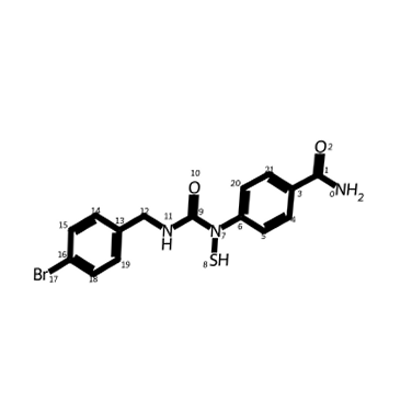 NC(=O)c1ccc(N(S)C(=O)NCc2ccc(Br)cc2)cc1